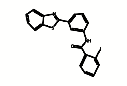 O=C(Nc1cccc(-c2nc3ccccc3s2)c1)c1ccccc1I